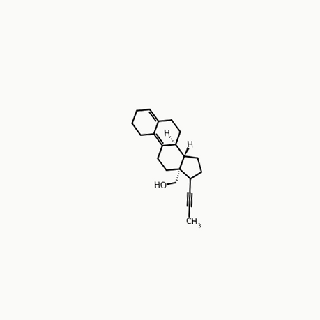 CC#CC1CC[C@H]2[C@@H]3CCC4=CCCCC4=C3CC[C@]12CO